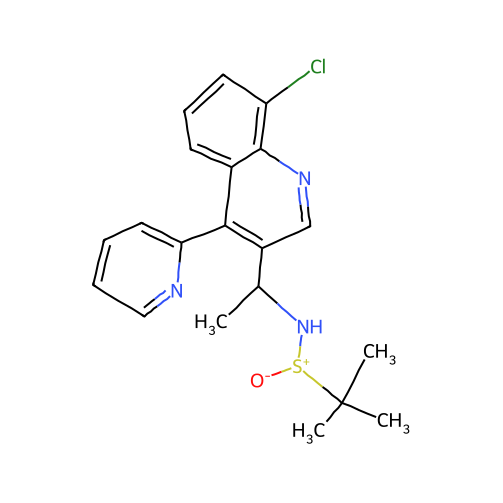 CC(N[S+]([O-])C(C)(C)C)c1cnc2c(Cl)cccc2c1-c1ccccn1